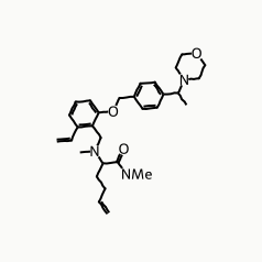 C=CCCC(C(=O)NC)N(C)Cc1c(C=C)cccc1OCc1ccc(C(C)N2CCOCC2)cc1